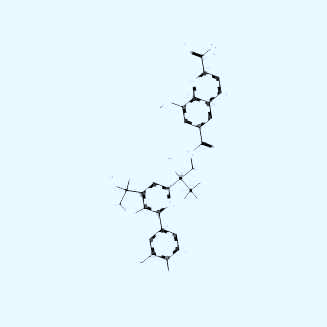 COc1cc(C(=O)NCC(O)(c2cc3c(c(-c4ccc(F)c(Cl)c4)n2)OCC3(C)C)C(F)(F)F)cc2ccc(C(N)=O)nc12